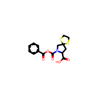 O=C(OC(=O)N1CC2(CC1C(=O)O)SCCS2)c1ccccc1